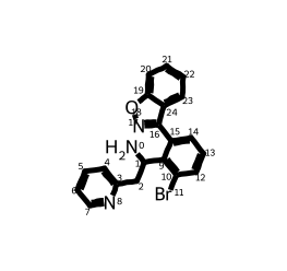 NC(Cc1ccccn1)c1c(Br)cccc1-c1noc2ccccc12